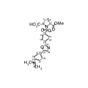 COC(=O)C1SCC(C(=O)O)N1S(=O)(=O)c1ccc(-c2ncc(-c3ccc(N(C)C)cc3)o2)cc1